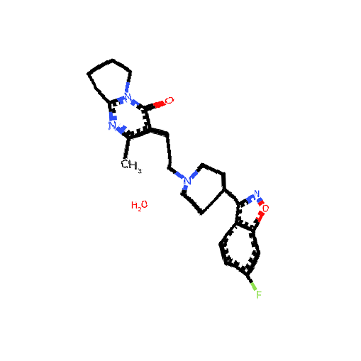 Cc1nc2n(c(=O)c1CCN1CCC(c3noc4cc(F)ccc34)CC1)CCCC2.O